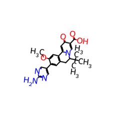 COc1cc2c(cc1-c1cnc(N)nc1)CC(C(C)(C)C)n1cc(C(=O)O)c(=O)cc1-2